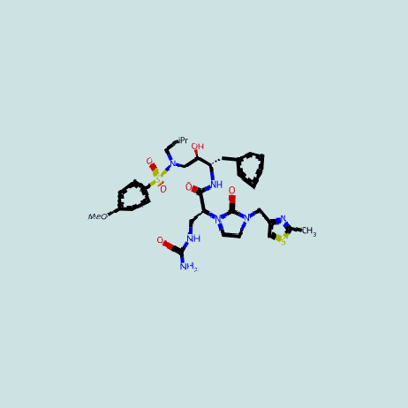 COc1ccc(S(=O)(=O)N(CC(C)C)C[C@@H](O)[C@H](Cc2ccccc2)NC(=O)[C@H](CNC(N)=O)N2CCN(Cc3csc(C)n3)C2=O)cc1